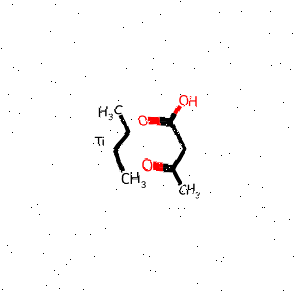 CC(=O)CC(=O)O.CCCC.[Ti]